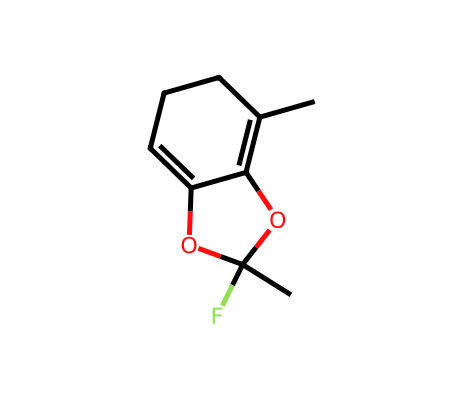 CC1=C2OC(C)(F)OC2=CCC1